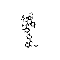 COc1ccccc1C(=O)N1CCN(c2ccc(NC(=O)N(OS(C)(=O)=O)c3cc(C(C)(C)C)nn3-c3ccc(C)cc3)c(C)n2)CC1